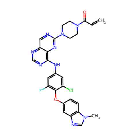 C=CC(=O)N1CCN(c2ncc3ncnc(Nc4cc(F)c(Oc5ccc6c(c5)ncn6C)c(Cl)c4)c3n2)CC1